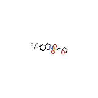 O=S(=O)(C=C[C@H]1CCCO1)N1CCc2cc(C(F)(F)F)ccc2C1